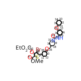 CCOC(=O)COc1c(C(=O)OC)sc(-c2cccc(OCC3CCN(C(=O)Nc4cccc(Oc5ccccc5)c4)CC3)c2)c1Br